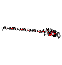 COCCOCCOCCOCCOCCOCCOCCOCCOCCOCCOCCOCCOCCOCCOCCOCCOCCOCCOCCOCCOCCOCCOCCOCCC(=O)NCCCC[C@H](NC(=O)[C@@H](N)C(C)C)C(=O)NCc1ccc([C@H]2O[C@@H]2[C@@H](C)[C@@H]2C/C=C/C(=O)N[C@H](Cc3ccc(OC)c(Cl)c3)C(=O)N[C@@H](C)C(C)(C)C(=O)N[C@@H](CC(C)(C)C)C(=O)O2)cc1